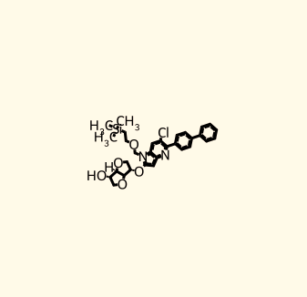 C[Si](C)(C)CCOCn1c(O[C@@H]2CO[C@H]3C2OC[C@H]3O)cc2nc(-c3ccc(-c4ccccc4)cc3)c(Cl)cc21